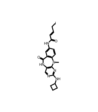 CN1c2ccc(NC(=O)/C=C/CI)cc2C(=O)Nc2cnc(NC3CCC3)nc21